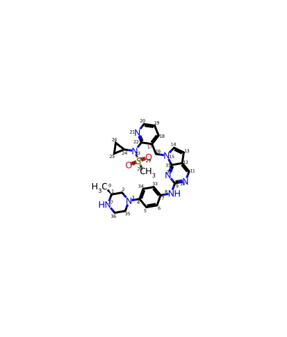 C[C@H]1CN(c2ccc(Nc3ncc4ccn(Cc5cccnc5N(C5CC5)S(C)(=O)=O)c4n3)cc2)CCN1